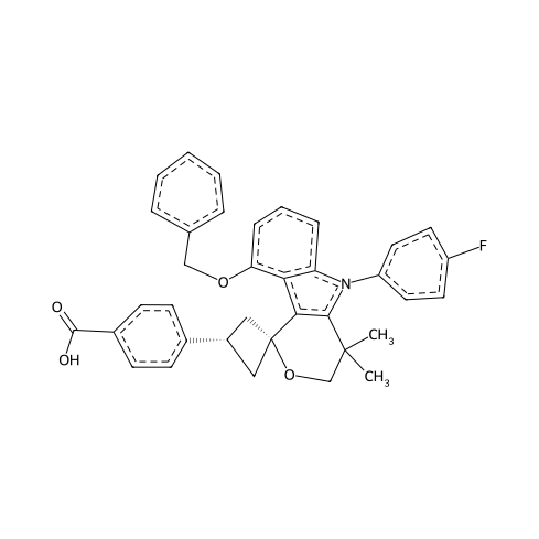 CC1(C)CO[C@]2(C[C@@H](c3ccc(C(=O)O)cc3)C2)c2c1n(-c1ccc(F)cc1)c1cccc(OCc3ccccc3)c12